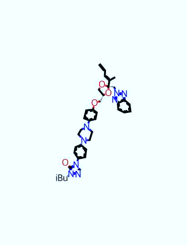 C=C/C=C(\C)[C@]1(Cn2nc3ccccc3n2)OC[C@@H](COc2ccc(N3CCN(c4ccc(-n5cnn(C(C)CC)c5=O)cc4)CC3)cc2)O1